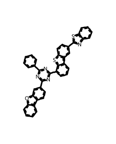 c1ccc(-c2nc(-c3ccc4c(c3)oc3ccccc34)nc(-c3cccc4c3sc3ccc(-c5nc6ccccc6s5)cc34)n2)cc1